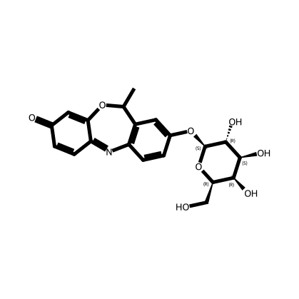 CC1OC2=CC(=O)C=CC2=Nc2ccc(O[C@@H]3O[C@H](CO)[C@H](O)[C@H](O)[C@H]3O)cc21